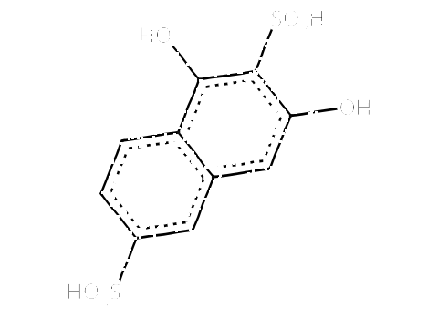 O=S(=O)(O)c1ccc2c(O)c(S(=O)(=O)O)c(O)cc2c1